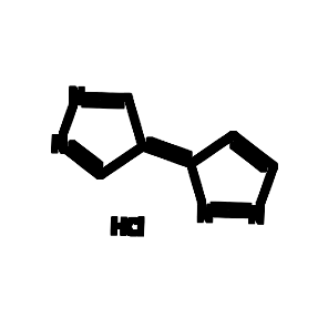 C1=CC(=C2C=NN=C2)N=N1.Cl